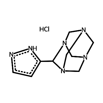 Cl.c1cc(C2N3CN4CN(C3)CN2C4)[nH]n1